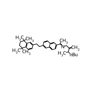 C=C(C/N=C(\C)c1ccc2cc(CCc3ccc4c(c3)C(C)(C)CCC4(C)C)ccc2c1)C(C)CCCC